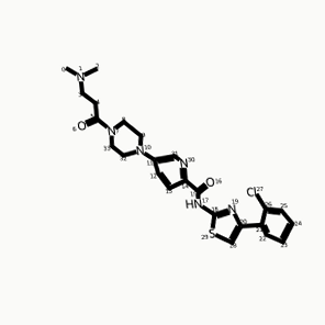 CN(C)CCC(=O)N1CCN(c2ccc(C(=O)Nc3nc(-c4ccccc4Cl)cs3)nc2)CC1